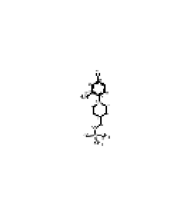 CC(C)(C)[Si](C)(C)OCC1CCN(c2ccc(Cl)cc2N)CC1